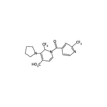 O=C(O)C1=C(N2CCCC2)C(C(F)(F)F)N(C(=O)c2ccnc(C(F)(F)F)c2)C=C1